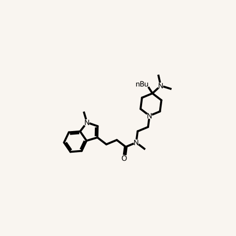 CCCCC1(N(C)C)CCN(CCN(C)C(=O)CCc2cn(C)c3ccccc23)CC1